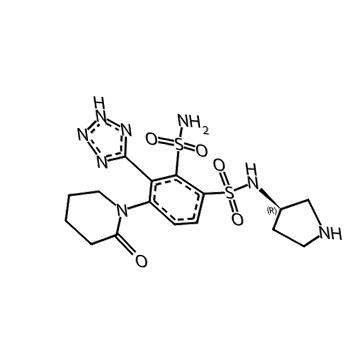 NS(=O)(=O)c1c(S(=O)(=O)N[C@@H]2CCNC2)ccc(N2CCCCC2=O)c1-c1nn[nH]n1